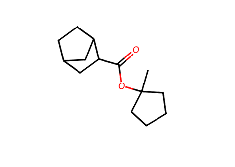 CC1(OC(=O)C2CC3CCC2C3)CCCC1